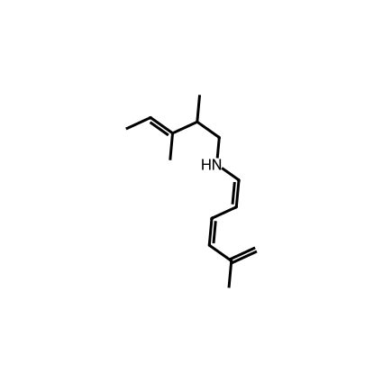 C=C(C)/C=C\C=C/NCC(C)/C(C)=C/C